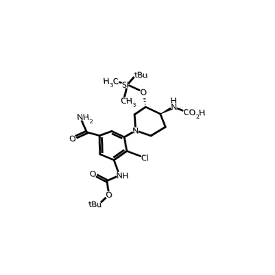 CC(C)(C)OC(=O)Nc1cc(C(N)=O)cc(N2CC[C@H](NC(=O)O)[C@@H](O[Si](C)(C)C(C)(C)C)C2)c1Cl